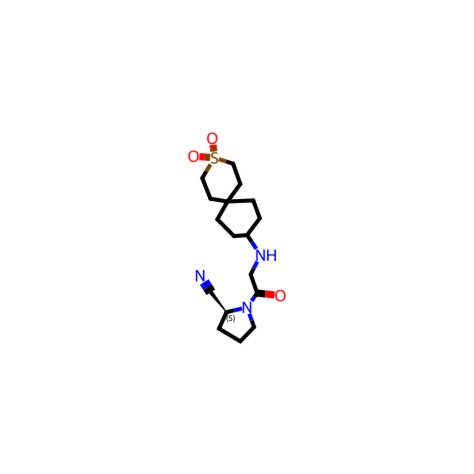 N#C[C@@H]1CCCN1C(=O)CNC1CCC2(CC1)CCS(=O)(=O)CC2